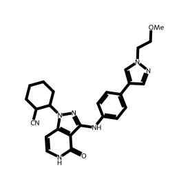 COCCn1cc(-c2ccc(Nc3nn(C4CCCCC4C#N)c4cc[nH]c(=O)c34)cc2)cn1